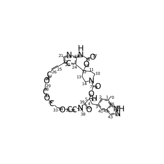 Cc1cc(C[C@H]2OC(=O)N3CCC4(CC3)OC(=O)Nc3ncc(cc34)/C=C/COCCOCCOCCN(C)C2=O)cc2cn[nH]c12